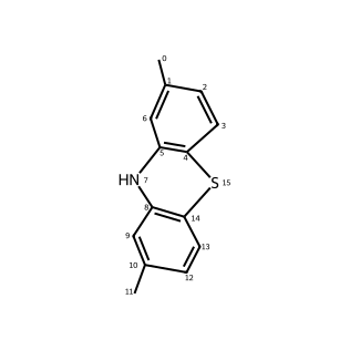 Cc1ccc2c(c1)Nc1cc(C)ccc1S2